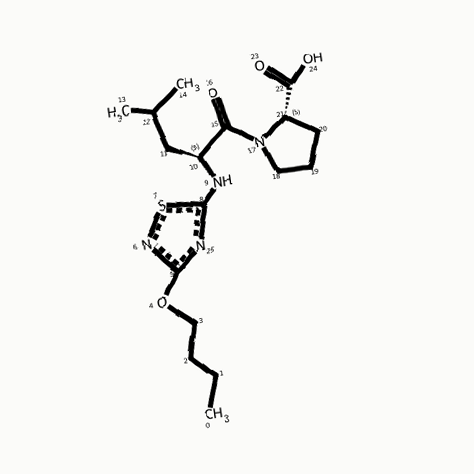 CCCCOc1nsc(N[C@@H](CC(C)C)C(=O)N2CCC[C@H]2C(=O)O)n1